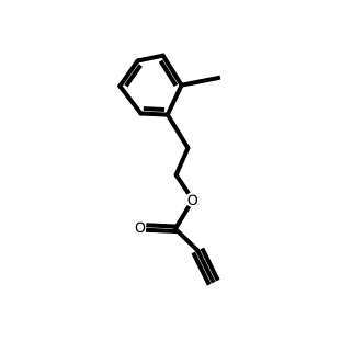 C#CC(=O)OCCc1ccccc1C